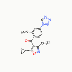 CCOC(=O)c1noc(C2CC2)c1C(=O)c1ccc(-n2cnnn2)cc1SC